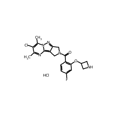 Cc1nc2c3c(nn2c(C)c1Cl)CN(C(=O)c1ccc(F)cc1OC1CNC1)C3.Cl